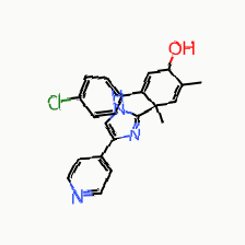 CC1=CC(C)(c2nc(-c3ccncc3)c[nH]2)C(c2ccc(Cl)cc2)=CC1O